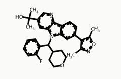 Cc1noc(C)c1-c1ccc2c3ncc(C(C)(C)O)cc3n(C(c3ccccc3F)C3CCOCC3)c2c1